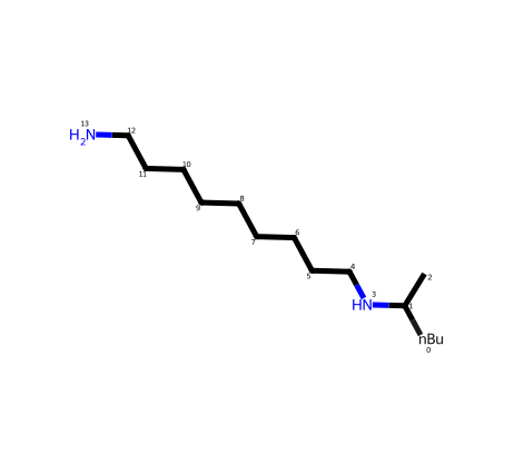 CCCCC(C)NCCCCCCCCCN